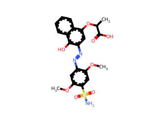 COc1cc(S(N)(=O)=O)c(OC)cc1N=Nc1cc(OC(C)C(=O)O)c2ccccc2c1O